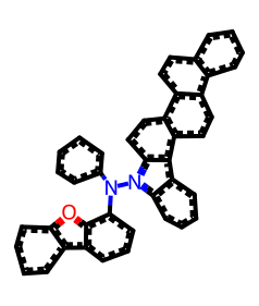 c1ccc(N(c2cccc3c2oc2ccccc23)n2c3ccccc3c3c4ccc5c6ccccc6ccc5c4ccc32)cc1